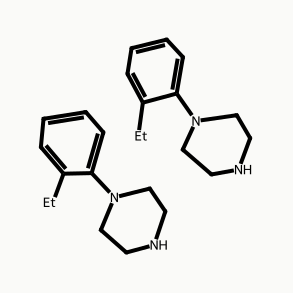 CCc1ccccc1N1CCNCC1.CCc1ccccc1N1CCNCC1